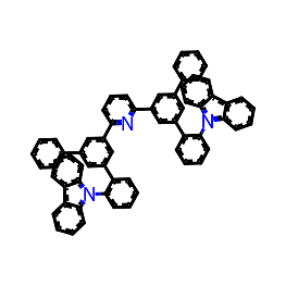 c1ccc(-c2cc(-c3cccc(-c4cc(-c5ccccc5)cc(-c5ccccc5-n5c6ccccc6c6ccccc65)c4)n3)cc(-c3ccccc3-n3c4ccccc4c4ccccc43)c2)cc1